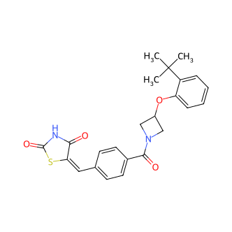 CC(C)(C)c1ccccc1OC1CN(C(=O)c2ccc(C=C3SC(=O)NC3=O)cc2)C1